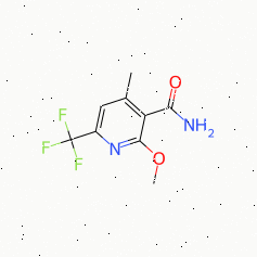 COc1nc(C(F)(F)F)cc(C)c1C(N)=O